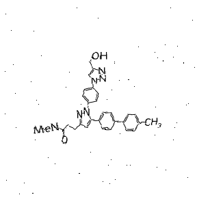 CNC(=O)CCc1cc(-c2ccc(-c3ccc(C)cc3)cc2)n(-c2ccc(-n3cc(CO)nn3)cc2)n1